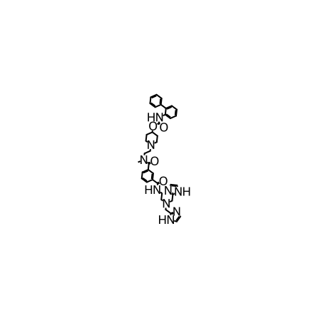 CN(CCN1CCC(OC(=O)Nc2ccccc2-c2ccccc2)CC1)C(=O)c1cccc(C(=O)NCCN(Cc2ncc[nH]2)Cc2ncc[nH]2)c1